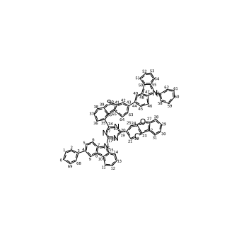 c1ccc(-c2ccc3c(c2)c2ccccc2n3-c2nc(-c3ccc4c(c3)oc3ccccc34)nc(-c3cccc4sc5cc(-c6ccc7c(c6)c6ccccc6n7-c6ccccc6)ccc5c34)n2)cc1